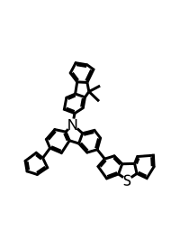 CC1(C)c2ccccc2-c2ccc(-n3c4ccc(-c5ccccc5)cc4c4cc(-c5ccc6sc7ccccc7c6c5)ccc43)cc21